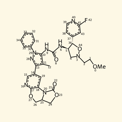 COCCN1C[C@@H](NC(=O)Nc2c(C)c(-c3cnc4c(c3)N3C(=O)OCC3CO4)nn2-c2ccccc2)[C@H](c2ccnc(F)c2)O1